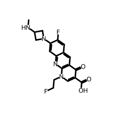 CNC1CN(c2cc3nc4c(cc3cc2F)c(=O)c(C(=O)O)cn4CCF)C1